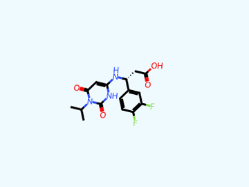 CC(C)n1c(=O)cc(N[C@H](CC(=O)O)c2ccc(F)c(F)c2)[nH]c1=O